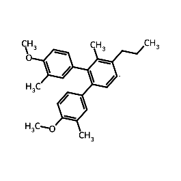 CCCc1[c]cc(-c2ccc(OC)c(C)c2)c(-c2ccc(OC)c(C)c2)c1C